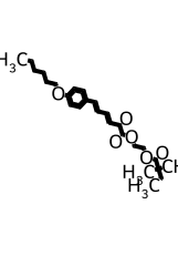 CCCCCCOc1ccc(/C=C/C=C/C(=O)C(=O)OCCOC(=O)C(C)(C)CC)cc1